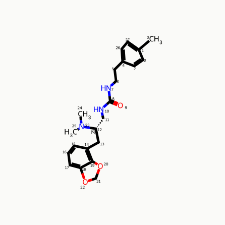 Cc1ccc(CCNC(=O)NC[C@H](Cc2cccc3c2OCO3)N(C)C)cc1